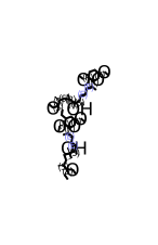 CC[C@H](OC)[C@@H](C)[C@H]1C[C@@](O)([C@@H](C)/C=C/C=C(\C)[C@H]2O[C@@H](OC)CC(CC[C@H](OC)[C@@H](C)[C@@H]3C[C@H]3[C@H](O)[C@@H](C)/C=C/C=C(\C)[C@H]3O[C@@H](OC)CC[C@H]3OC)[C@@H]2OC)C1